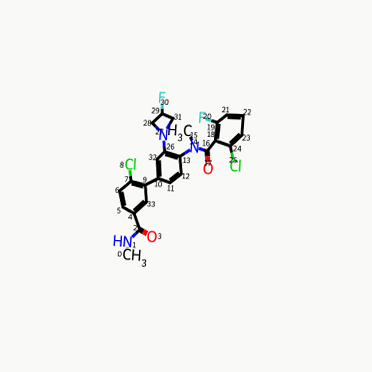 CNC(=O)c1ccc(Cl)c(-c2ccc(N(C)C(=O)c3c(F)cccc3Cl)c(N3CC(F)C3)c2)c1